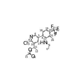 CCNc1c(-c2cnc(Cl)c(C(C)OC(C)=O)c2)ccc(C(F)(F)F)c1C